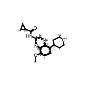 COc1ccc(C2CCOCC2)c2ncc(NC(=O)C3CC3)nc12